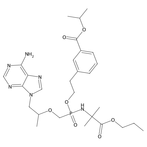 CCCOC(=O)C(C)(C)NP(=O)(COC(C)Cn1cnc2c(N)ncnc21)OCCc1cccc(C(=O)OC(C)C)c1